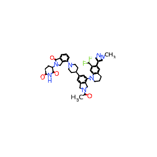 CC(=O)N1Cc2cc(C3CCN(c4cccc5c4CN(C4CCC(=O)NC4=O)C5=O)CC3)cc(N3CCCc4cc(-c5cnn(C)c5)c(C(F)F)cc43)c2C1